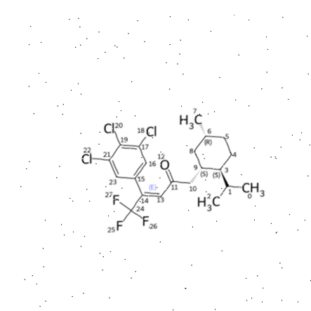 CC(C)[C@@H]1CC[C@@H](C)C[C@H]1CC(=O)/C=C(\c1cc(Cl)c(Cl)c(Cl)c1)C(F)(F)F